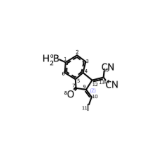 Bc1ccc2c(c1)C(=O)/C(=C\I)C2=C(C#N)C#N